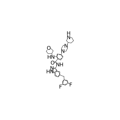 O=C(Nc1n[nH]c2ccc(Cc3cc(F)cc(F)c3)cc12)c1ccc(N2CCN(C3CCCNC3)CC2)cc1NC1CCOCC1